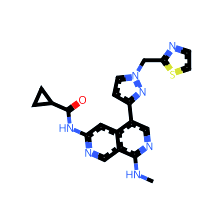 CNc1ncc(-c2ccn(Cc3nccs3)n2)c2cc(NC(=O)C3CC3)ncc12